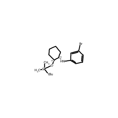 CC(C)(C)[Si](C)(C)O[C@H]1CCCC[C@@H]1Nc1cccc(Br)c1